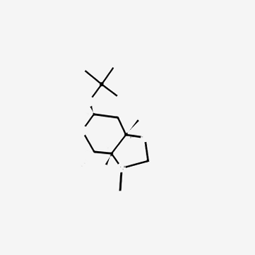 C[C@@H]1O[C@@H](OC(C)(C)C)C[C@]2(C)OCN(C)[C@H]12